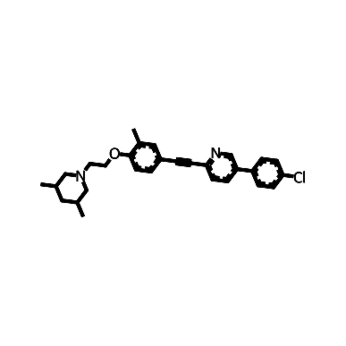 Cc1cc(C#Cc2ccc(-c3ccc(Cl)cc3)cn2)ccc1OCCN1CC(C)CC(C)C1